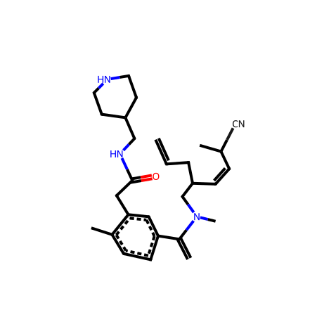 C=CCC(/C=C\C(C)C#N)CN(C)C(=C)c1ccc(C)c(CC(=O)NCC2CCNCC2)c1